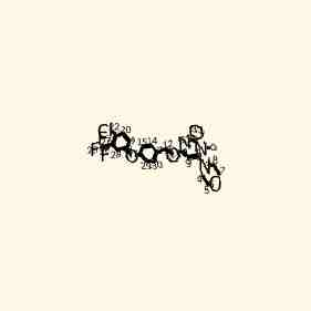 Cn1c(N2CCOCC2)cc(OCc2ccc(Oc3ccc(Cl)c(C(F)(F)F)c3)cc2)nc1=O